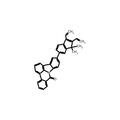 C=CC1=C(C=C)C(C)(C)c2cc(-c3ccc4c(c3)c3cccc5c6ccccc6c(=O)n4c53)ccc21